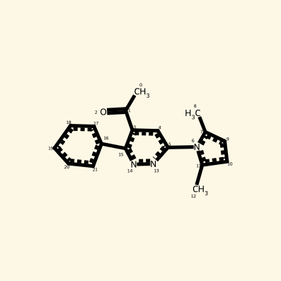 CC(=O)c1cc(-n2c(C)ccc2C)nnc1-c1ccccc1